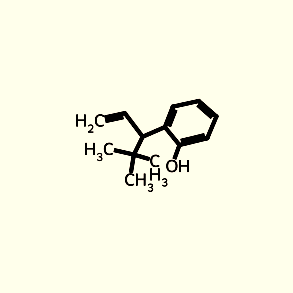 C=CC(c1ccccc1O)C(C)(C)C